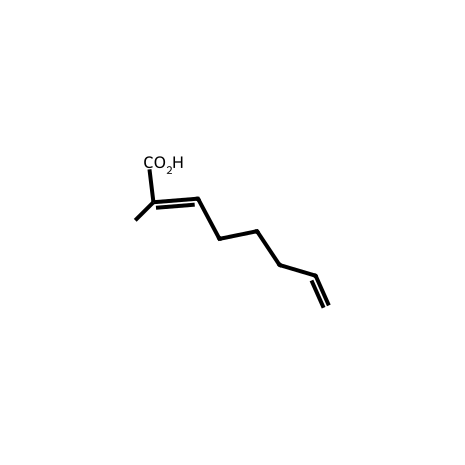 C=CCCCC=C(C)C(=O)O